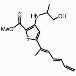 C=CC=CC=C(C)c1cc(NC(C)CO)c(C(=O)OC)s1